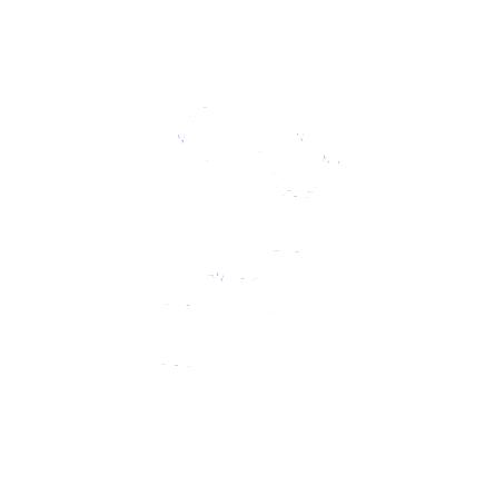 O=C(NC1CCCCC1)c1ccc2[nH]nc(-c3cncs3)c2c1